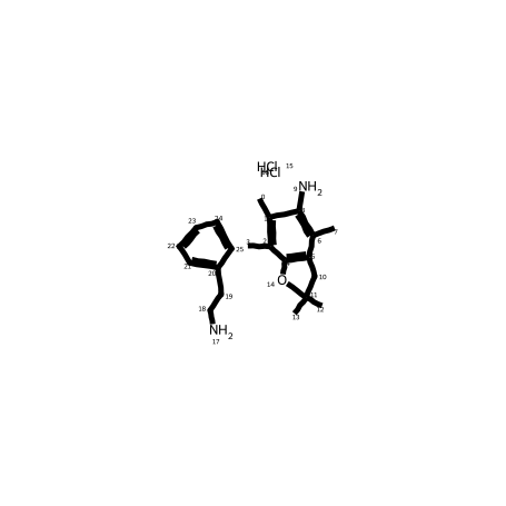 Cc1c(C)c2c(c(C)c1N)CC(C)(C)O2.Cl.Cl.NCCc1ccccc1